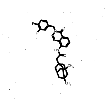 CC12CC3CC(C)(C1)CC(CC(=O)Nc1cccc4c(=O)n(Cc5ccc(F)c(F)c5)ccc14)(C3)C2